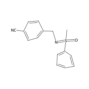 CS(=O)(=NCc1ccc(C#N)cc1)c1ccccc1